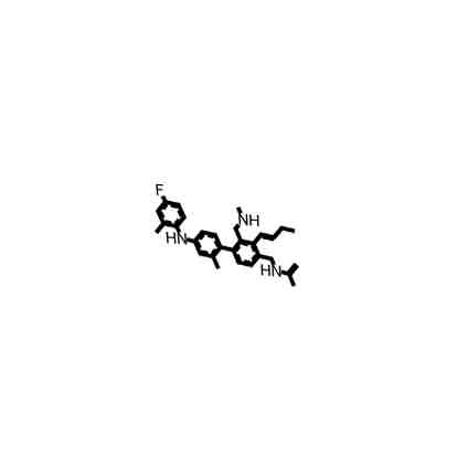 C=C(C)NCc1ccc(-c2ccc(Nc3ccc(F)cc3C)cc2C)c(CNC)c1/C=C/CC